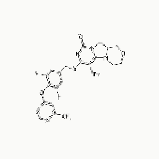 CC(C)c1c(OCc2cc(F)c(Oc3ccnc(C(F)(F)F)c3)c(F)c2)nc(=O)n2c1N1CCOCC1C2